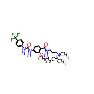 COc1cc(NC(=O)Nc2ccc(C(F)(F)F)cc2)ccc1C(=O)NCCCN(C)C(C)C